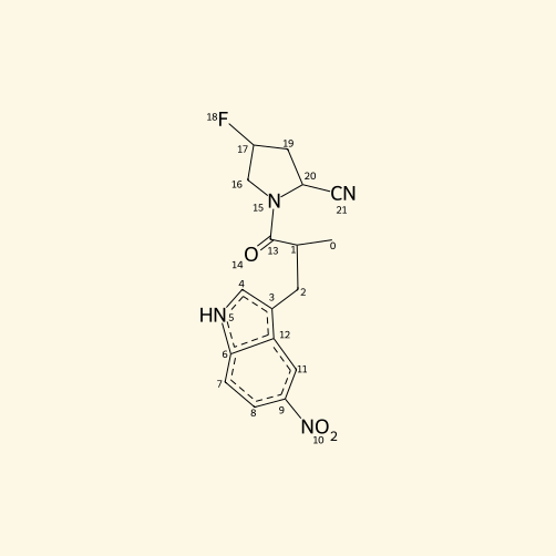 CC(Cc1c[nH]c2ccc([N+](=O)[O-])cc12)C(=O)N1CC(F)CC1C#N